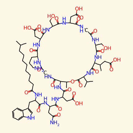 CC(C)CCCCCCCCC(=O)NC(Cc1c[nH]c2ccccc12)C(=O)NC(CC(N)=O)C(=O)NC(CC(=O)O)C(=O)NC1C(=O)NCC(=O)NC(CCCN)C(=O)NC(CC(=O)O)C(=O)NC(CO)C(=O)NC(CC(=O)O)C(=O)NCC(=O)NC(CO)C(=O)NC(C(C)CC(=O)O)C(=O)NC(C(C)C)C(=O)OC1C